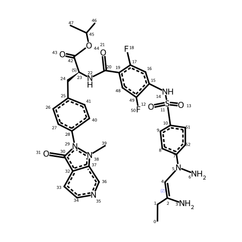 CC/C(N)=C/N(N)c1ccc(S(=O)(=O)Nc2cc(F)c(C(=O)N[C@@H](Cc3ccc(-n4c(=O)c5ccncc5n4C)cc3)C(=O)OC(C)C)cc2F)cc1